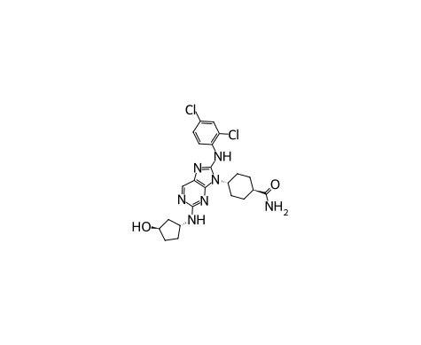 NC(=O)[C@H]1CC[C@H](n2c(Nc3ccc(Cl)cc3Cl)nc3cnc(N[C@@H]4CC[C@@H](O)C4)nc32)CC1